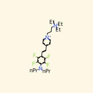 CCCN(CCC)c1c(F)c(F)c(C=Cc2cc[n+](CCC[N+](CC)(CC)CC)cc2)c(F)c1F